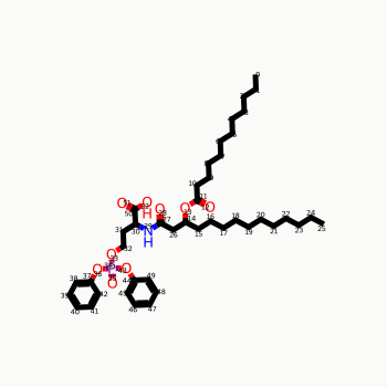 CCCCCCCCCCCC(=O)OC(CCCCCCCCCCC)CC(=O)NC(CCOP(=O)(Oc1ccccc1)Oc1ccccc1)C(=O)O